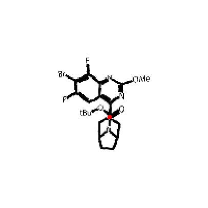 COc1nc(N2CC3CCC(C2)N3C(=O)OC(C)(C)C)c2cc(F)c(Br)c(F)c2n1